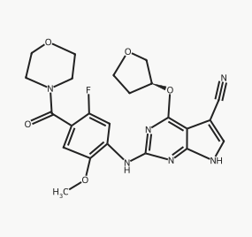 COc1cc(C(=O)N2CCOCC2)c(F)cc1Nc1nc(O[C@H]2CCOC2)c2c(C#N)c[nH]c2n1